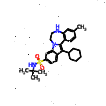 Cc1ccc2c(c1)NCCn1c-2c(C2CCCCC2)c2ccc(S(=O)(=O)NC(C)(C)C)cc21